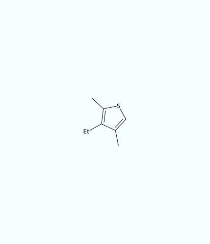 CCc1c(C)csc1C